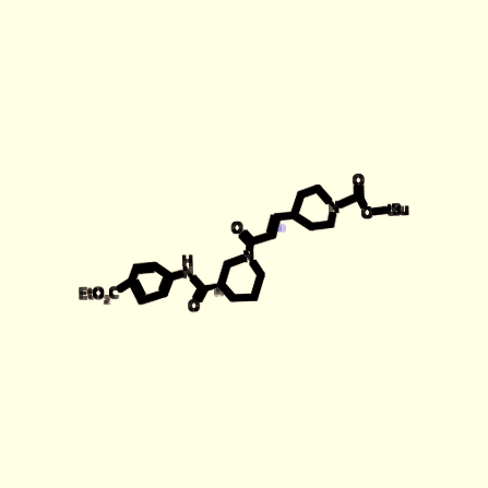 CCOC(=O)c1ccc(NC(=O)[C@@H]2CCCN(C(=O)/C=C/C3CCN(C(=O)OC(C)(C)C)CC3)C2)cc1